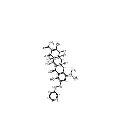 CCC1C(O)=C(C(N)=O)C(=O)[C@@]2(O)C(O)=C3C(=O)c4c(O)c(CNc5cccnc5)cc(N(C)C)c4C[C@H]3C[C@@H]12